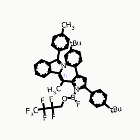 C/C(=C1/N=C(c2ccc(C)cc2)c2ccccc21)c1c(-c2ccc(C(C)(C)C)cc2)cc(-c2ccc(C(C)(C)C)cc2)n1B(F)OCC(F)(F)C(F)(F)C(F)(F)F